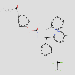 COC(=O)c1ccc(OC(=O)N[C@](Cc2ccccc2)(c2cccc(OC(F)(F)C(F)F)c2)c2ccc(Cl)cn2)cc1